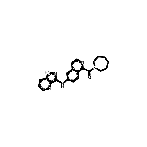 O=C(c1nccc2cc(Nc3n[nH]c4cccnc34)ccc12)N1CCCCCC1